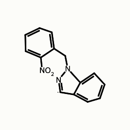 O=[N+]([O-])c1ccccc1Cn1n[c]c2ccccc21